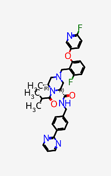 CC(C)C(=O)N1[C@H](C)CN(Cc2c(F)cccc2Oc2ccc(F)nc2)C[C@@H]1C(=O)NCc1ccc(-c2ncccn2)cc1